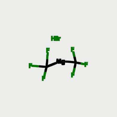 Br.F[C](F)(F)[Mg][C](F)(F)F